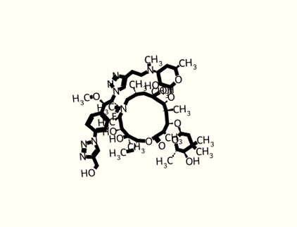 CC[C@H]1OC(=O)[C@H](C)[C@@H](O[C@H]2CC(C)(C)[C@@H](O)[C@H](C)O2)[C@H](C)[C@@H](O[C@@H]2O[C@H](C)C[C@H](N(C)CCc3cn([C@H](CF)[C@H](OC)c4ccc(-n5cc(CO)nn5)cc4)nn3)[C@H]2O)[C@](C)(O)C[C@@H](C)CN(C)[C@H](C)[C@@H](O)[C@]1(C)O